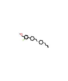 C=CCC[C@H]1CC[C@H](CCC2CCC(c3ccc(COC)c(F)c3)CC2)CC1